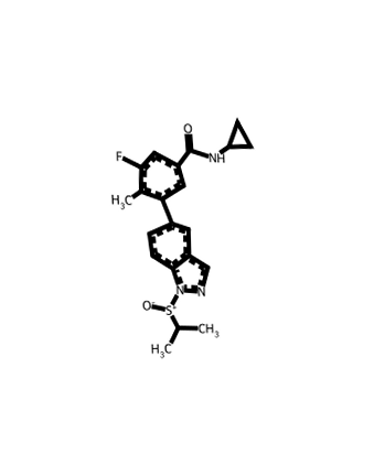 Cc1c(F)cc(C(=O)NC2CC2)cc1-c1ccc2c(cnn2[S+]([O-])C(C)C)c1